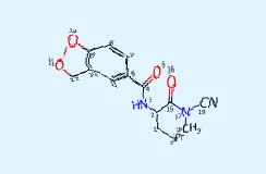 CC(C)CC(NC(=O)c1ccc2c(c1)COO2)C(=O)N(C)C#N